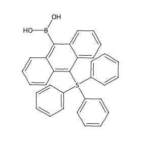 OB(O)c1c2ccccc2c(S(c2ccccc2)(c2ccccc2)c2ccccc2)c2ccccc12